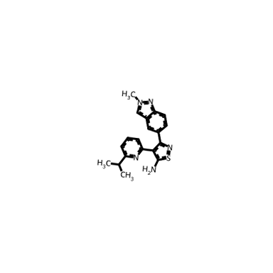 CC(C)c1cccc(-c2c(-c3ccc4nn(C)cc4c3)nsc2N)n1